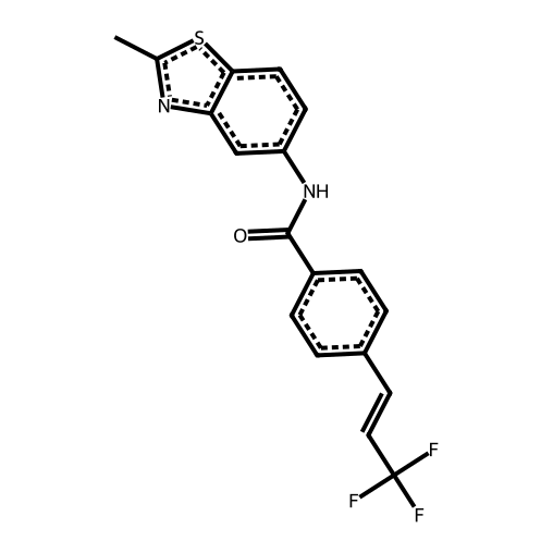 Cc1nc2cc(NC(=O)c3ccc(/C=C/C(F)(F)F)cc3)ccc2s1